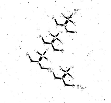 CC(C)CS(CC(C)C)=P([O-])([O-])[S-].CC(C)CS(CC(C)C)=P([O-])([O-])[S-].CC(C)CS(CC(C)C)=P([O-])([O-])[S-].CC(C)CS(CC(C)C)=P([O-])([O-])[S-].[Mo+4].[Mo+4].[Mo+4]